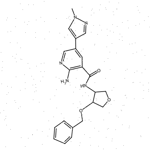 Cn1cc(-c2cnc(N)c(C(=O)NC3COCC3OCc3ccccc3)c2)cn1